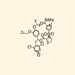 CNC(=O)c1cc(S(=O)(=O)N2CCS[C@H]2C(=O)O[C@@H](Cc2c(Cl)c[n+]([O-])cc2Cl)c2ccc(OC(F)F)c(OCC3CC3)c2)cn1C